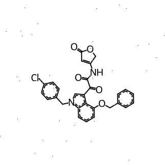 O=C1C=C(NC(=O)C(=O)c2cn(Cc3ccc(Cl)cc3)c3cccc(OCc4ccccc4)c23)CO1